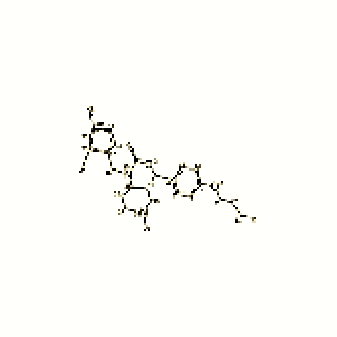 C=C(OCc1ccc(OCCCC)cc1)N(Cc1ccc(F)cc1C)C1CCN(C)CC1